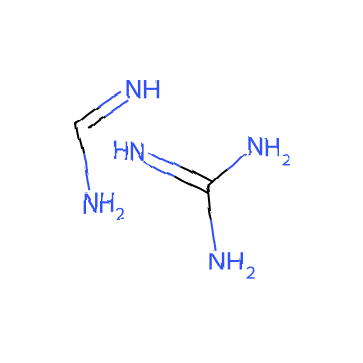 N=C(N)N.N=CN